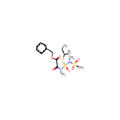 CCC(C)SP(=O)(N(C)C(=O)C(=O)OCc1ccccc1)N(C)S(C)(=O)=O